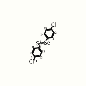 Clc1ccc([Se][Se]c2ccc(Cl)cc2)cc1